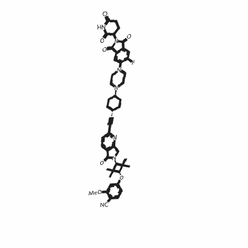 COc1cc(O[C@H]2C(C)(C)[C@H](N3Cc4nc(C#C[C@H]5CC[C@H](N6CCN(c7cc8c(cc7F)C(=O)N(C7CCC(=O)NC7=O)C8=O)CC6)CC5)ccc4C3=O)C2(C)C)ccc1C#N